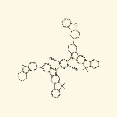 CC1(C)c2ccccc2-c2cc3c4c(n(-c5cc(C#N)c(-n6c7ccc(-c8ccc9oc%10c(c9c8)CCC=C%10)cc7c7cc8c(cc76)C(C)(C)c6ccccc6-8)cc5C#N)c3cc21)CCC(C1=CC=C2Oc3ccccc3C2C1)=C4